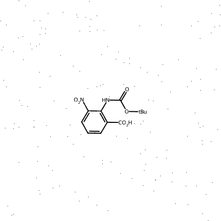 CC(C)(C)OC(=O)Nc1c(C(=O)O)cccc1[N+](=O)[O-]